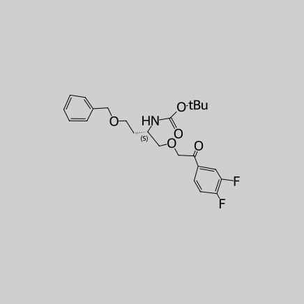 CC(C)(C)OC(=O)N[C@@H](CCOCc1ccccc1)COCC(=O)c1ccc(F)c(F)c1